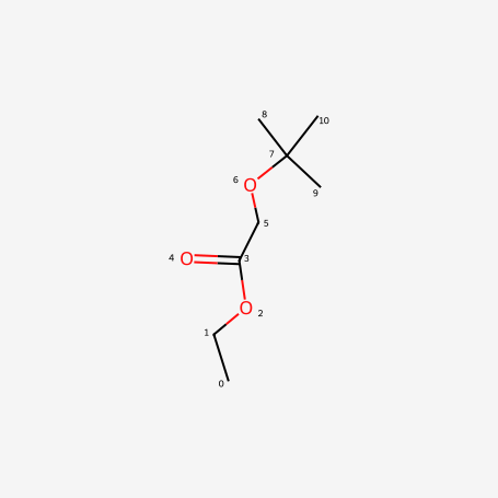 CCOC(=O)COC(C)(C)C